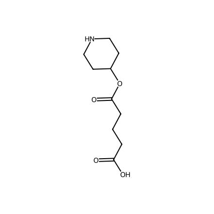 O=C(O)CCCC(=O)OC1CCNCC1